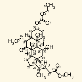 CCOC(=O)O[C@@H]1CC[C@]2(C)[C@@H]3[C@@H](C(=O)[C@H](CC)[C@@H]2C1)[C@@H]1CC[C@H]([C@H](C)CCC(=O)OC)[C@@]1(C)C[C@@H]3O